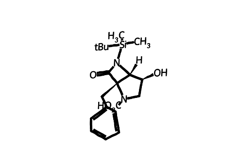 CC(C)(C)[Si](C)(C)N1C(=O)[C@]2(Cc3ccccc3)[C@H]1[C@@H](O)CN2C(=O)O